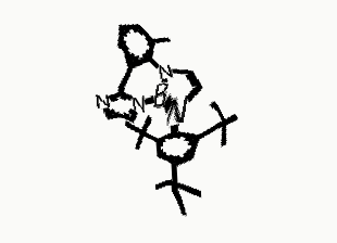 Cc1cccc2c1N1C=CN(c3c(C(C)(C)C)cc(C(C)(C)C)cc3C(C)(C)C)B1n1ccnc1-2